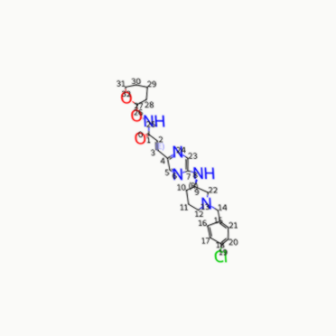 O=C(/C=C/c1cnc(N[C@@H]2CCCN(Cc3ccc(Cl)cc3)C2)cn1)NOC1CCCCO1